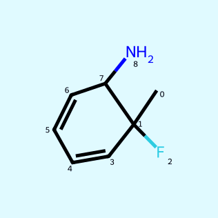 CC1(F)C=CC=CC1N